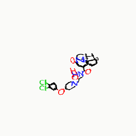 Cn1c(=O)cc(C(=O)NC[C@@H](O)CN2CCC(Oc3ccc(Cl)c(Cl)c3)CC2)c2ccccc21